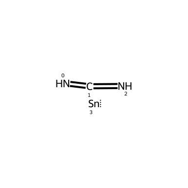 N=C=N.[Sn]